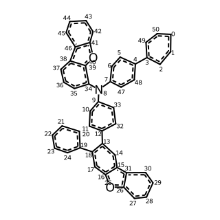 c1ccc(-c2ccc(N(c3ccc(-c4cc5c(cc4-c4ccccc4)oc4ccccc45)cc3)c3cccc4c3oc3ccccc34)cc2)cc1